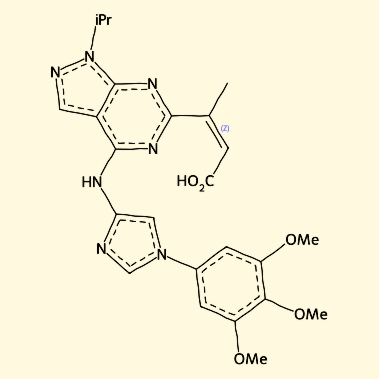 COc1cc(-n2cnc(Nc3nc(/C(C)=C\C(=O)O)nc4c3cnn4C(C)C)c2)cc(OC)c1OC